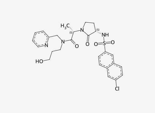 C[C@@H](C(=O)N(CCCO)Cc1ccccn1)N1CC[C@H](NS(=O)(=O)c2ccc3cc(Cl)ccc3c2)C1=O